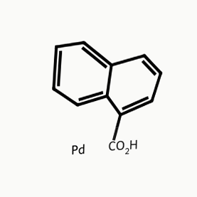 O=C(O)c1cccc2ccccc12.[Pd]